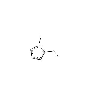 Nn1cncc1NC=O